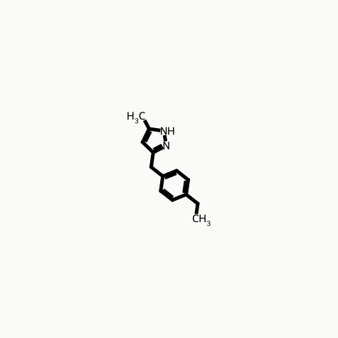 CCc1ccc(Cc2cc(C)[nH]n2)cc1